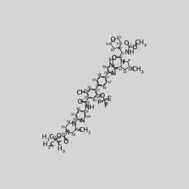 COC(=O)N[C@H](C(=O)N1C[C@@H](C)C[C@H]1c1nc(-c2ccc(-c3cc(Cl)c(C(=O)Nc4ccc(N5CCN(C(=O)OC(C)(C)C)C[C@H]5C)nc4)cc3OC(F)(F)F)cc2)c[nH]1)C1CCOCC1